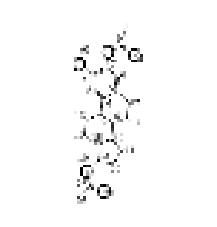 COc1cc2c(cc1OC(C)=O)CCC1C2CC[C@@]2(C)C1CC[C@@H]2OC(C)=O